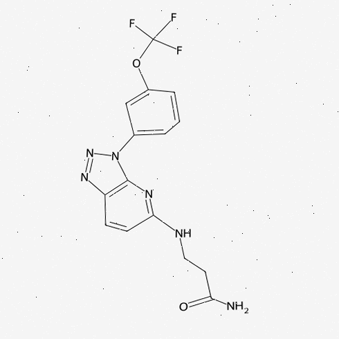 NC(=O)CCNc1ccc2nnn(-c3cccc(OC(F)(F)F)c3)c2n1